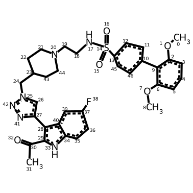 COc1cccc(OC)c1-c1ccc(S(=O)(=O)NCCN2CCC(Cn3cc(-c4c(C(C)=O)[nH]c5ccc(F)cc45)nn3)CC2)cc1